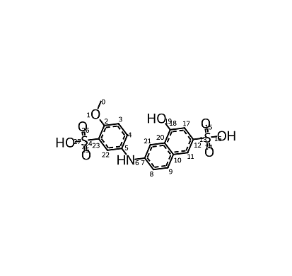 COc1ccc(Nc2ccc3cc(S(=O)(=O)O)cc(O)c3c2)cc1S(=O)(=O)O